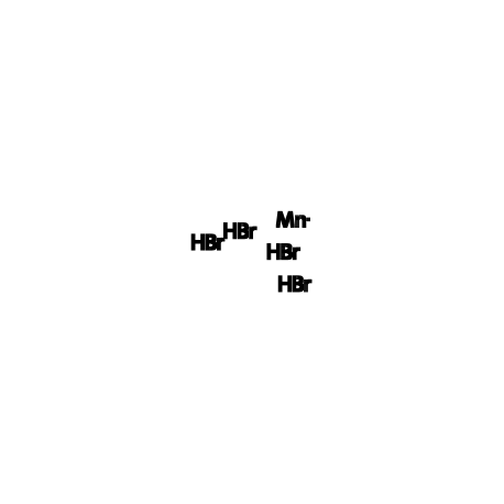 Br.Br.Br.Br.[Mn]